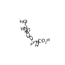 O=C(O)NC/C(=C/F)COc1ccc2nc(NCCCO)oc2c1